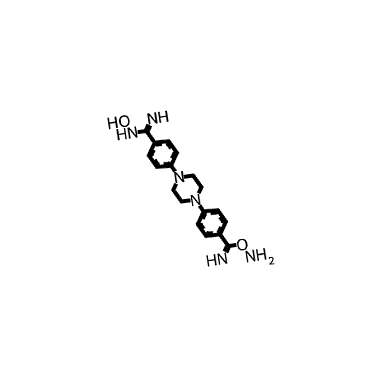 N=C(NO)c1ccc(N2CCN(c3ccc(C(=N)ON)cc3)CC2)cc1